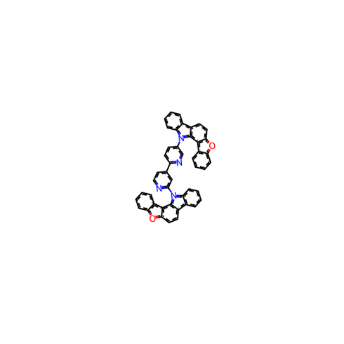 c1ccc2c(c1)oc1ccc3c4ccccc4n(-c4ccc(-c5ccnc(-n6c7ccccc7c7ccc8oc9ccccc9c8c76)c5)nc4)c3c12